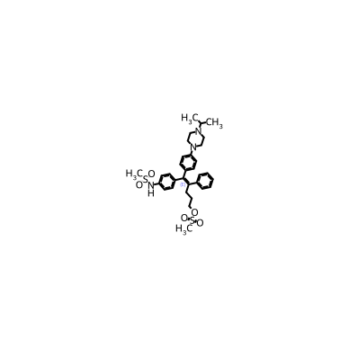 CC(C)N1CCN(c2ccc(/C(=C(/CCCOS(C)(=O)=O)c3ccccc3)c3ccc(NS(C)(=O)=O)cc3)cc2)CC1